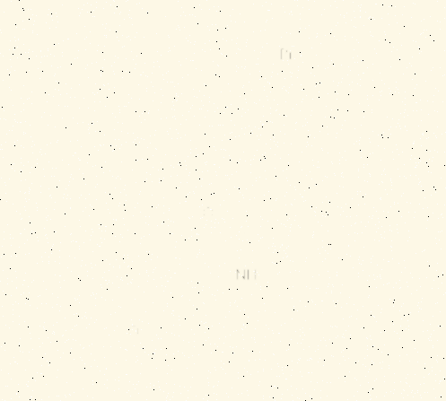 O=C(Cc1ccc(Br)cc1)NC1CCOCC1